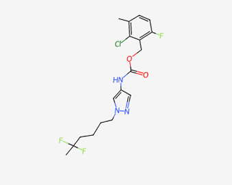 Cc1ccc(F)c(COC(=O)Nc2cnn(CCCCC(C)(F)F)c2)c1Cl